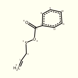 C=CCSOC(=O)c1ccccc1